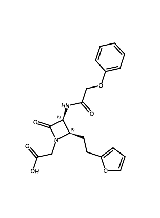 O=C(O)CN1C(=O)[C@@H](NC(=O)COc2ccccc2)[C@H]1CCc1ccco1